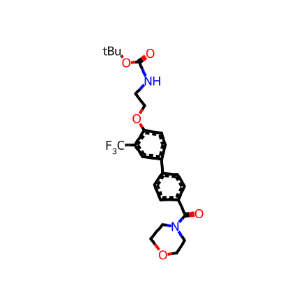 CC(C)(C)OC(=O)NCCOc1ccc(-c2ccc(C(=O)N3CCOCC3)cc2)cc1C(F)(F)F